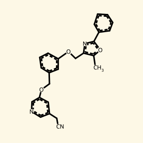 Cc1oc(-c2ccccc2)nc1COc1cccc(COc2cncc(CC#N)c2)c1